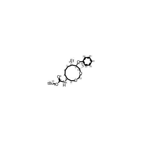 CC[C@H]1CCC[C@H](NC(=O)OC(C)(C)C)COCO[C@@H](C)[C@@H]1Oc1ccccc1